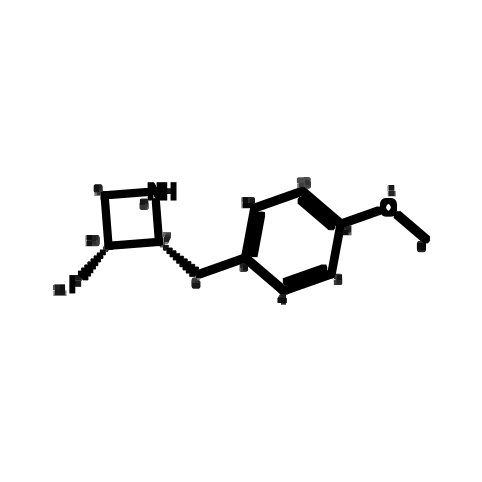 COc1ccc(C[C@H]2NC[C@H]2F)cc1